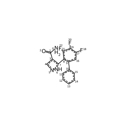 NC(=O)c1cn[nH]c1-c1c(-c2ccccc2)cc(F)c(F)c1F